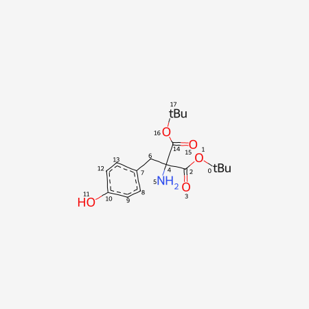 CC(C)(C)OC(=O)C(N)(Cc1ccc(O)cc1)C(=O)OC(C)(C)C